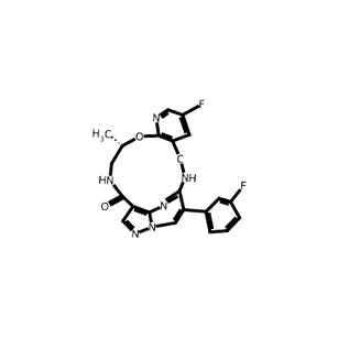 C[C@H]1CNC(=O)c2cnn3cc(-c4cccc(F)c4)c(nc23)NCc2cc(F)cnc2O1